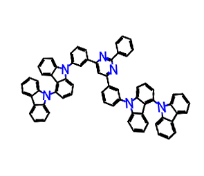 c1ccc(-c2nc(-c3cccc(-n4c5ccccc5c5c(-n6c7ccccc7c7ccccc76)cccc54)c3)cc(-c3cccc(-n4c5ccccc5c5c(-n6c7ccccc7c7ccccc76)cccc54)c3)n2)cc1